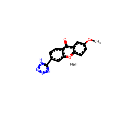 COc1ccc2oc3cc(-c4nnn[nH]4)ccc3c(=O)c2c1.[NaH]